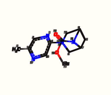 Cc1cnc(N2CC3CC(C2)N3C(=O)OC(C)(C)C)cn1